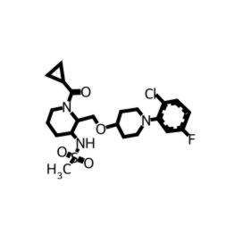 CS(=O)(=O)NC1CCCN(C(=O)C2CC2)C1COC1CCN(c2cc(F)ccc2Cl)CC1